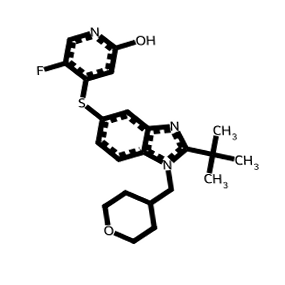 CC(C)(C)c1nc2cc(Sc3cc(O)ncc3F)ccc2n1CC1CCOCC1